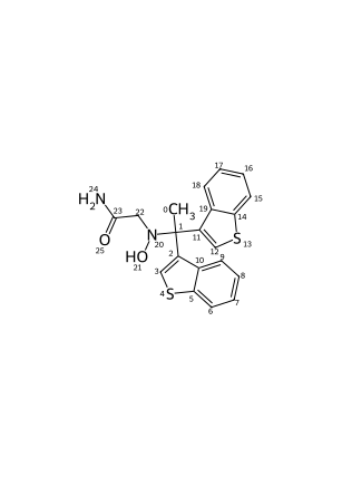 CC(c1csc2ccccc12)(c1csc2ccccc12)N(O)CC(N)=O